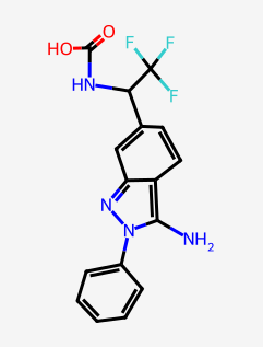 Nc1c2ccc(C(NC(=O)O)C(F)(F)F)cc2nn1-c1ccccc1